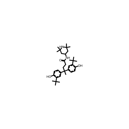 CC1(C)CC(NC(=O)CCC(C)(c2ccc(O)c(C(C)(C)C)c2)c2ccc(O)c(C(C)(C)C)c2)CC(C)(C)N1